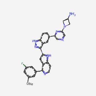 COc1cc(F)cc(-c2nccc3[nH]c(-c4n[nH]c5ccc(-c6cncc(N7CC(N)C7)n6)cc45)cc23)c1